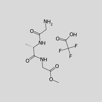 COC(=O)CNC(=O)[C@H](C)NC(=O)CN.O=C(O)C(F)(F)F